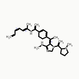 C=C/C=C\C=C(/C)NC(=C)C1=CC=C(/C(C)=C2\C(NC)=NCN2C(=C)C2CCCN2C)CC1